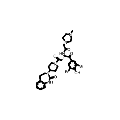 CN1CCN(CC(=O)N[C@@H](CC(=O)N2CCC(N3CCc4ccccc4NC3=O)CC2)C(=O)c2cc(Br)c(O)c(Br)c2)CC1